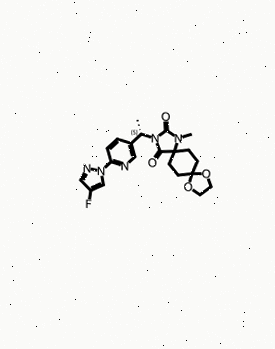 C[C@@H](c1ccc(-n2cc(F)cn2)nc1)N1C(=O)N(C)C2(CCC3(CC2)OCCO3)C1=O